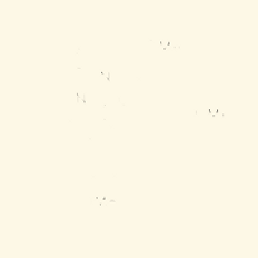 COC(=O)c1cccc(N2CC(=O)N(Cc3ccc(OC)cc3OC)S2(=O)=O)c1